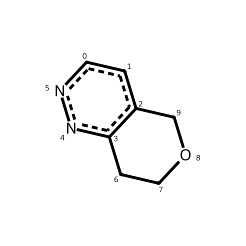 c1cc2c(nn1)CCOC2